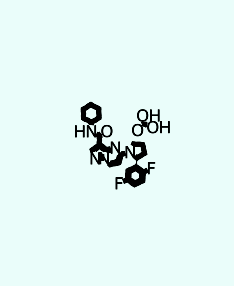 O=C(NC1CCCCC1)c1cnn2ccc(N3CCC[C@@H]3c3cc(F)ccc3F)nc12.O=C(O)O